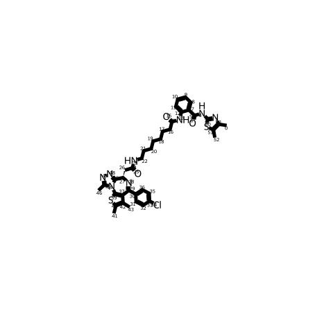 Cc1nc(NC(=O)c2ccccc2NC(=O)CCCCCCCNC(=O)C[C@@H]2N=C(c3ccc(Cl)cc3)c3c(sc(C)c3C)-n3c(C)nnc32)sc1C